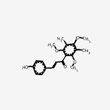 COc1c(C)c(OC)c(C(=O)/C=C/c2ccc(O)cc2)c(OC)c1C